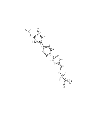 COCc1[nH]c(-c2ccc(-c3ccc(OCC(C)(C)C(=O)O)cc3)nc2)nc1Cl